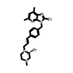 CCc1nc2c(C)cc(C)nc2n1Cc1ccc(/C=C/CN2CCN(C)C[C@@H]2C(C)C)cc1